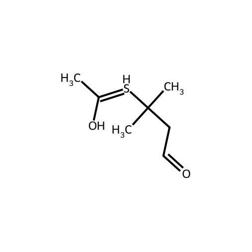 CC(O)=[SH]C(C)(C)CC=O